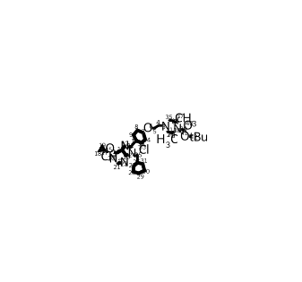 C[C@@H]1CN(CCOc2ccc(-c3nc4c(OC5(C)CC5)ncnc4n3Cc3ccccc3)c(Cl)c2)C[C@H](C)N1C(=O)OC(C)(C)C